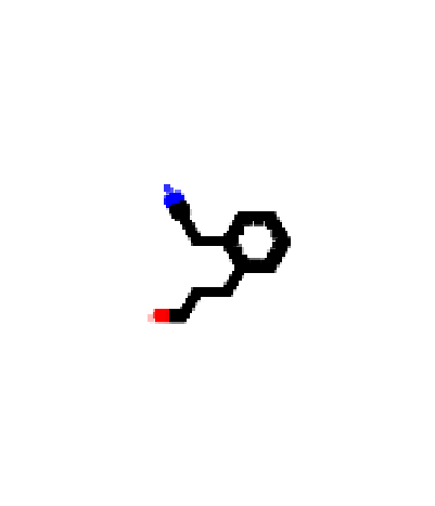 N#CCc1ccccc1CCC=O